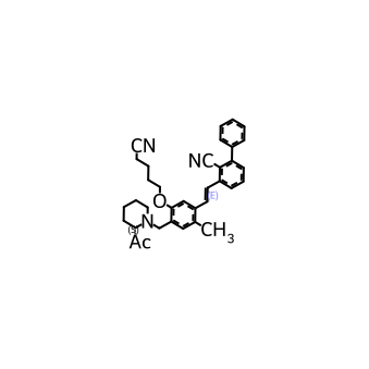 CC(=O)[C@@H]1CCCCN1Cc1cc(C)c(/C=C/c2cccc(-c3ccccc3)c2C#N)cc1OCCCCC#N